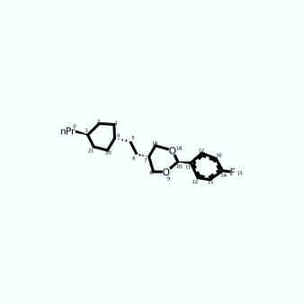 CCC[C@H]1CC[C@H](CC[C@H]2CO[C@H](c3ccc(F)cc3)OC2)CC1